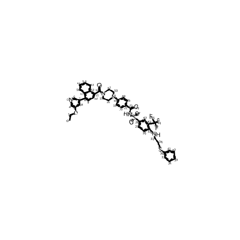 CCOc1cncc(-c2ccc(C(=O)N3CCN(c4ccc(C(=O)NS(=O)(=O)c5ccc(NCCSc6ccccc6)c(C(F)(F)F)c5)cc4)CC3)c3ccccc23)c1